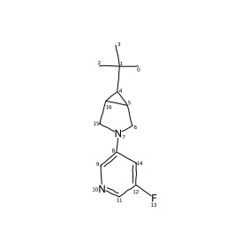 CC(C)(C)C1C2CN(c3cncc(F)c3)CC21